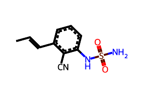 C/C=C/c1cccc(NS(N)(=O)=O)c1C#N